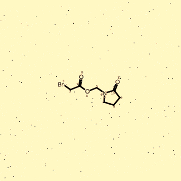 O=C(CBr)OCN1CCCC1=O